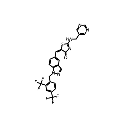 O=C1N=C(NCc2cncnc2)SC1=Cc1ccc2c(cnn2Cc2ccc(C(F)(F)F)cc2C(F)(F)F)c1